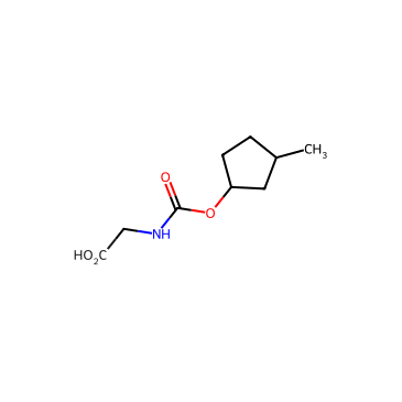 CC1CCC(OC(=O)NCC(=O)O)C1